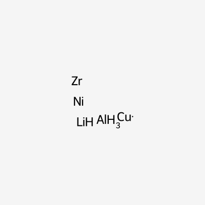 [AlH3].[Cu].[LiH].[Ni].[Zr]